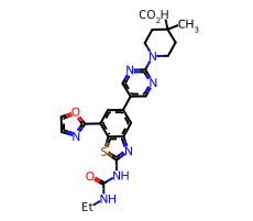 CCNC(=O)Nc1nc2cc(-c3cnc(N4CCC(C)(C(=O)O)CC4)nc3)cc(-c3ncco3)c2s1